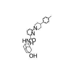 Cc1ccc(C2CCN(c3cccc(C(=O)N[C@H]4C5CC6CC4C[C@](O)(C6)C5)n3)CC2)cc1